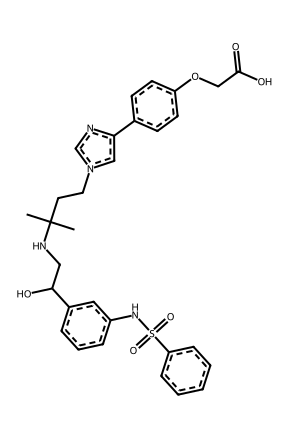 CC(C)(CCn1cnc(-c2ccc(OCC(=O)O)cc2)c1)NCC(O)c1cccc(NS(=O)(=O)c2ccccc2)c1